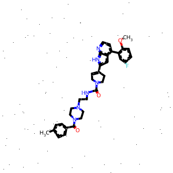 COc1ccc(F)cc1-c1ccnc2[nH]c(C3=CCN(C(=O)NCCN4CCN(C(=O)c5ccc(C)cc5)CC4)CC3)cc12